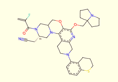 C=C(F)C(=O)N1CC2COc3c(OCC45CCCN4CCC5)nc4c(c3N2C[C@@H]1CC#N)CCN(c1cccc2c1CCCS2)C4